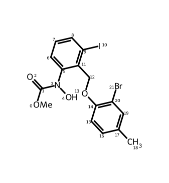 COC(=O)N(O)c1cccc(I)c1COc1ccc(C)cc1Br